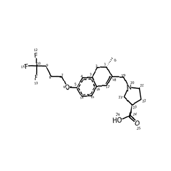 C[C@H]1Cc2cc(OCCCC(F)(F)F)ccc2C=C1CN1CC[C@@H](C(=O)O)C1